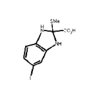 CSC1(C(=O)O)Nc2ccc(I)cc2N1